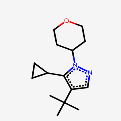 CC(C)(C)c1cnn(C2CCOCC2)c1C1CC1